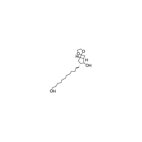 OCCCCCCCCCCC=C[C@@H]1C[C@H]2[C@@H](CC23OCCO3)C1O